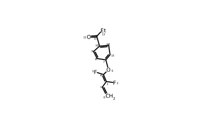 C=C/C(F)=C(\F)Oc1ccc(C(=O)CC)cc1